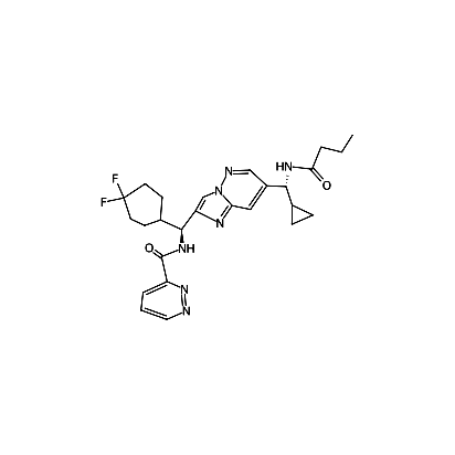 CCCC(=O)N[C@@H](c1cnn2cc([C@@H](NC(=O)c3cccnn3)C3CCC(F)(F)CC3)nc2c1)C1CC1